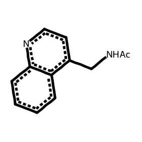 CC(=O)NCc1ccnc2ccccc12